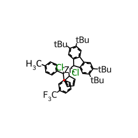 Cc1ccc([C](c2cccc(C(F)(F)F)c2)=[Zr]([Cl])([Cl])([CH]2C=CC=C2)[CH]2c3cc(C(C)(C)C)c(C(C)(C)C)cc3-c3cc(C(C)(C)C)c(C(C)(C)C)cc32)cc1